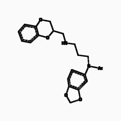 CC(=O)N(CCCNCC1COc2ccccc2O1)c1ccc2c(c1)OCO2